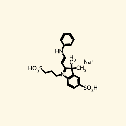 CC1(C)C(C=CNc2ccccc2)=[N+](CCCS(=O)(=O)O)c2ccc(S(=O)(=O)O)cc21.[Na+]